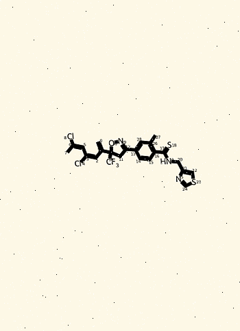 C=C(/C=C(Cl)\C=C(/C)Cl)C1(C(F)(F)F)CC(c2ccc(C(=S)NCc3cscn3)c(C)c2)=NO1